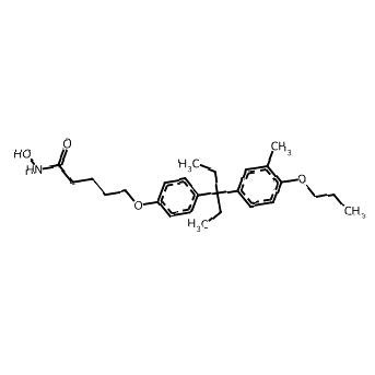 CCCOc1ccc(C(CC)(CC)c2ccc(OCCCCC(=O)NO)cc2)cc1C